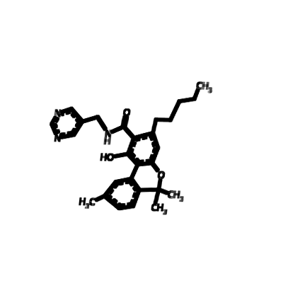 CCCCCc1cc2c(c(O)c1C(=O)NCc1cncnc1)-c1cc(C)ccc1C(C)(C)O2